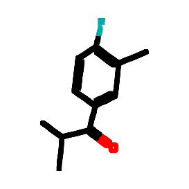 Cc1cc(C(=O)C(C)C)ccc1F